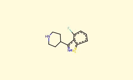 Fc1cccc2snc(C3CCNCC3)c12